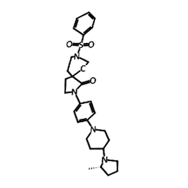 C[C@H]1CCCN1C1CCN(c2ccc(N3CCC4(CCN(S(=O)(=O)c5ccccc5)CC4)C3=O)cc2)CC1